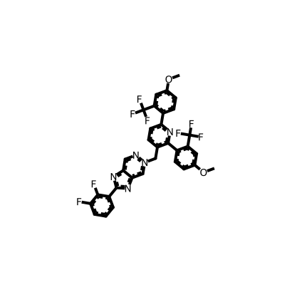 COc1ccc(-c2ccc(Cn3cc4nc(-c5cccc(F)c5F)nc-4cn3)c(-c3ccc(OC)cc3C(F)(F)F)n2)c(C(F)(F)F)c1